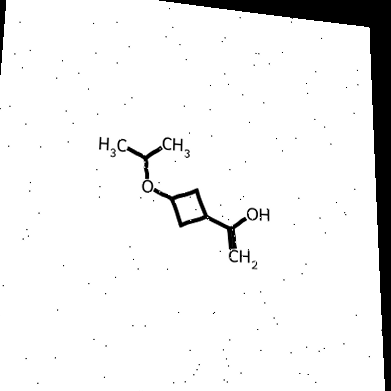 C=C(O)C1CC(OC(C)C)C1